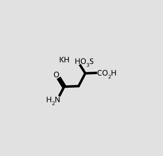 NC(=O)CC(C(=O)O)S(=O)(=O)O.[KH]